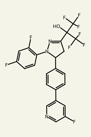 OC(C1=NN(c2ccc(F)cc2F)C(c2ccc(-c3cncc(F)c3)cc2)C1)(C(F)(F)F)C(F)(F)F